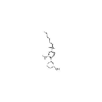 CCCCCC[Si](C)(C)c1ccc(C2CCCC(O)C2)c(OC)c1